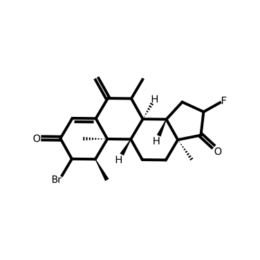 C=C1C2=CC(=O)C(Br)[C@H](C)[C@]2(C)[C@H]2CC[C@]3(C)C(=O)C(F)C[C@H]3[C@@H]2C1C